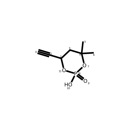 C#CC1CC(C)(C)OP(=O)(O)O1